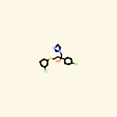 OC(CCSc1cccc(Cl)c1)(Cn1ccnc1)c1ccc(Cl)cc1